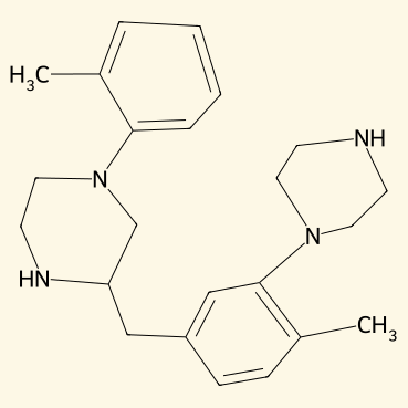 Cc1ccc(CC2CN(c3ccccc3C)CCN2)cc1N1CCNCC1